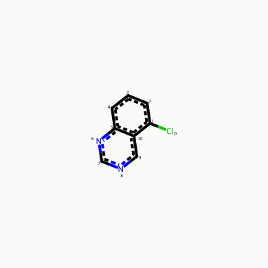 Clc1cccc2ncn[c]c12